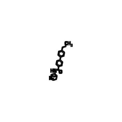 CCCc1ccc(-c2ccc(C(=O)NC3CN4CCC3CC4)cc2)cc1